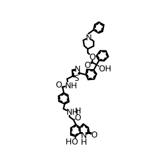 O=C(NCc1cnc(-c2cccc([C@](O)(C(=O)OCC3CCN(Cc4ccccc4)CC3)c3ccccc3)c2)s1)c1ccc(CNC[C@H](O)c2ccc(O)c3[nH]c(=O)ccc23)cc1